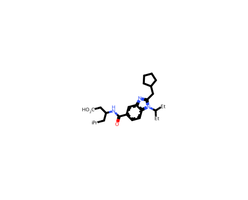 CCC(CC)n1c(CC2CCCC2)nc2cc(C(=O)NC(CC(=O)O)CC(C)C)ccc21